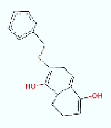 OC1=CCCC2C1=CCC(SCc1ccccc1)=C2O